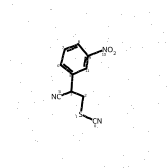 N#CSCC(C#N)c1cccc([N+](=O)[O-])c1